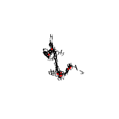 Cc1ncsc1-c1ccc(CCNC(=O)[C@@H]2C[C@H](O)CN2C(=O)[C@@H](NC(=O)COCCOCCOC2CCN(C[C@@H](C)Oc3nc(N4CCNCC4)c4cc(Cl)c(-c5cc(O)cc6ccccc56)c(F)c4n3)CC2)C(C)(C)C)cc1